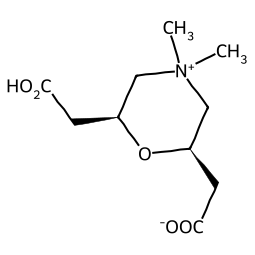 C[N+]1(C)C[C@@H](CC(=O)[O-])O[C@@H](CC(=O)O)C1